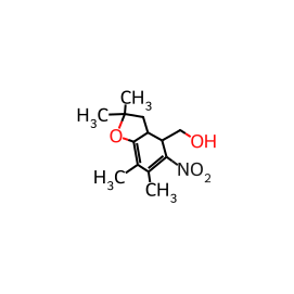 CC1=C2OC(C)(C)CC2C(CO)C([N+](=O)[O-])=C1C